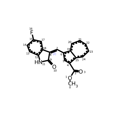 COC(=O)c1cc(/C=C2\C(=O)Nc3ccc(F)cc32)c2cccccc1-2